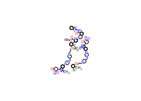 Cc1c(Br)cccc1OCCCN1CCC(CN2CCN(c3ccc4c(C5CCC(=O)NC5=O)nn(C)c4c3)CC2)CC1.Cc1c(OCCCN2CCC(CN3CCN(c4ccc5c(C6CCC(=O)NC6=O)nn(C)c5c4)CC3)CC2)cccc1-c1ccc(N2CCc3cccc(C(=O)Nc4nc5ccccc5s4)c3C2)nc1C(=O)OC(C)(C)C